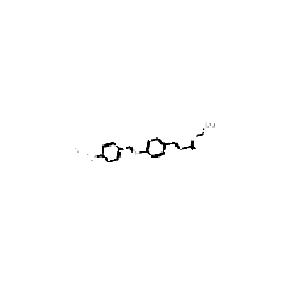 CCCCCCCCOc1ccc(C=Nc2ccc(C=CC(=O)OCC(C)CC)cc2)cc1